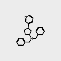 c1ccc(CN(Cc2ccccc2)C2CCC(c3cccnc3)C2)cc1